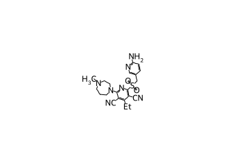 CCc1c(C#N)c(N2CCCN(C)CC2)nc(S(=O)(=O)Cc2ccc(N)nc2)c1C#N